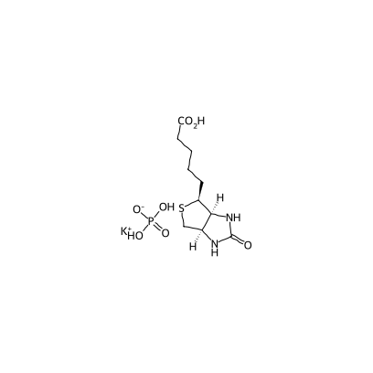 O=C(O)CCCC[C@@H]1SC[C@@H]2NC(=O)N[C@@H]21.O=P([O-])(O)O.[K+]